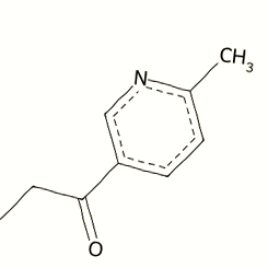 Cc1ccc(C(=O)CCl)cn1